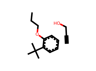 C#CCO.CCCOc1ccccc1C(C)(C)C